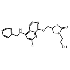 O=C1OC(COc2nccc3c(NCc4ccccc4)cc(Cl)nc23)CN1CCO